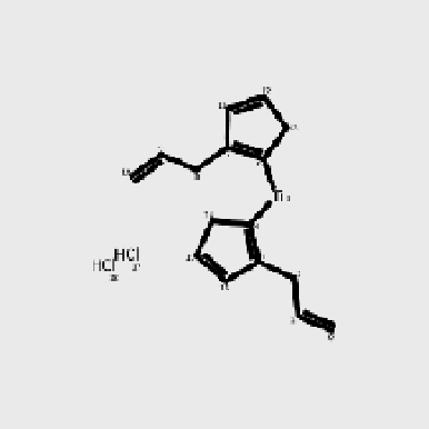 C=CCC1=[C]([Ti][C]2=C(CC=C)C=CC2)CC=C1.Cl.Cl